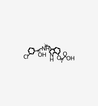 C[C@H](Cc1c[nH]c2c(O[C@H](C)C(=O)O)cccc12)NC[C@H](O)c1cccc(Cl)c1